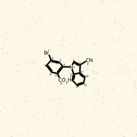 N#Cc1cn(-c2cc(Br)ccc2C(=O)O)c2ccccc12